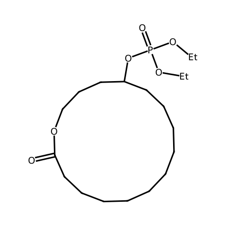 CCOP(=O)(OCC)OC1CCCCCCCCCCC(=O)OCCC1